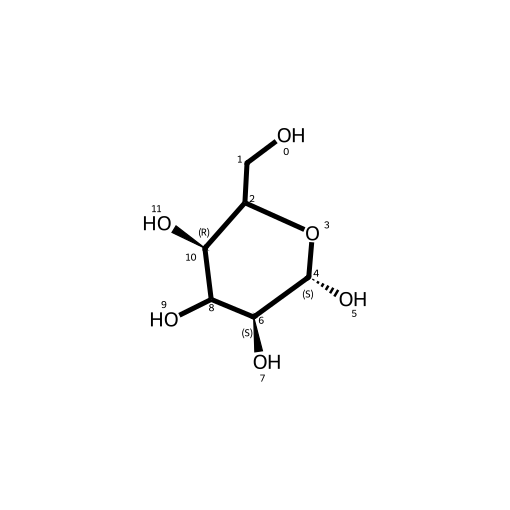 OCC1O[C@H](O)[C@@H](O)C(O)[C@H]1O